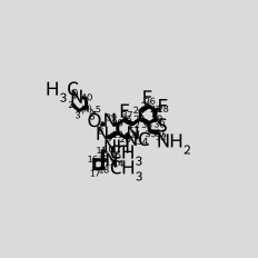 CN1CC[C@@H](COc2nc(NCC3(N(C)C)CCC3)c3cnc(-c4cc(F)c(F)c5sc(N)c(C#N)c45)c(F)c3n2)C1